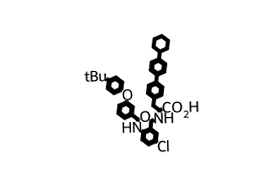 CC(C)(C)c1ccc(Oc2cccc(CNc3ccc(Cl)cc3C(=O)NC(Cc3ccc(-c4ccc(C5CCCCC5)cc4)cc3)C(=O)O)c2)cc1